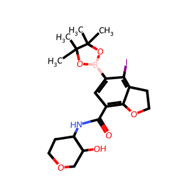 CC1(C)OB(c2cc(C(=O)NC3CCOCC3O)c3c(c2I)CCO3)OC1(C)C